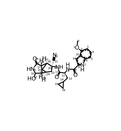 COc1cccc2[nH]c(C(=O)N[C@@H](CC3CC3)C(=O)N[C@@]3(C#N)C[C@@H]4C[C@H]3[C@H]3C(=O)NC(O)[C@H]43)cc12